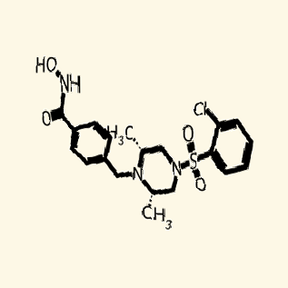 C[C@@H]1CN(S(=O)(=O)c2ccccc2Cl)C[C@H](C)N1Cc1ccc(C(=O)NO)cc1